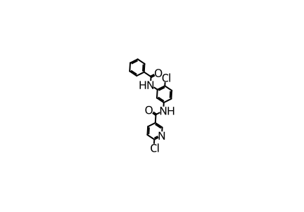 O=C(Nc1ccc(Cl)c(NC(=O)c2ccccc2)c1)c1ccc(Cl)nc1